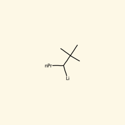 [Li][CH](CCC)C(C)(C)C